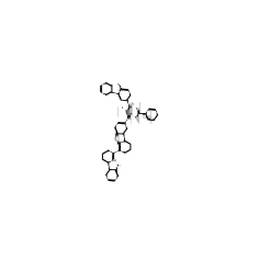 c1ccc(C2N=C(c3ccc4sc5ccccc5c4c3)NC(c3ccc4oc5c(-c6cccc7c6sc6ccccc67)cccc5c4c3)N2)cc1